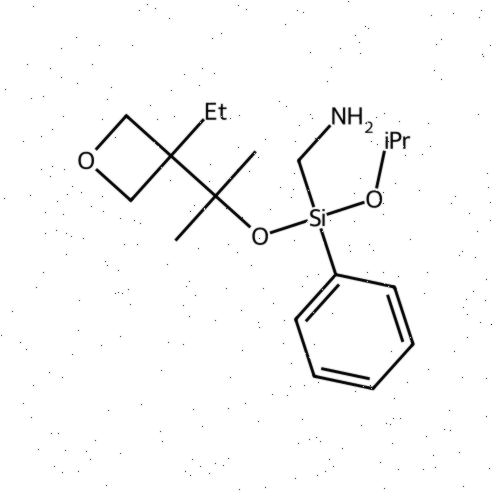 CCC1(C(C)(C)O[Si](CN)(OC(C)C)c2ccccc2)COC1